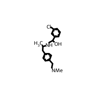 CNCCc1ccc(CC(C)NCC(O)c2cccc(Cl)c2)cc1